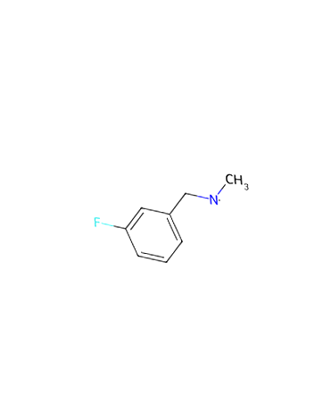 C[N]Cc1cccc(F)c1